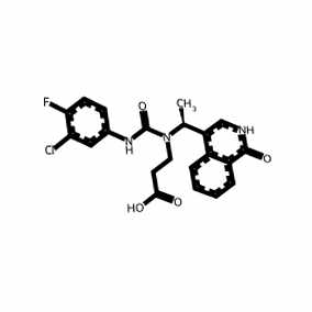 C[C@@H](c1c[nH]c(=O)c2ccccc12)N(CCC(=O)O)C(=O)Nc1ccc(F)c(Cl)c1